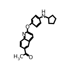 CC(=O)c1ccc2nc(Oc3ccc(NC4CCCC4)cc3)ccc2c1